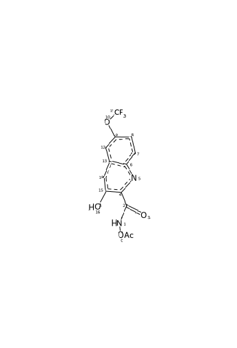 CC(=O)ONC(=O)c1nc2ccc(OC(F)(F)F)cc2cc1O